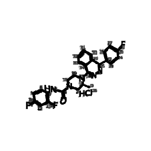 C[C@H]1CN(C(=O)Nc2ccc(F)cc2F)CCN1c1nnc(-c2ccc(F)cc2)c2ccccc12.Cl